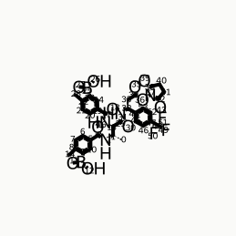 C[C@H](NC(=O)c1ccc2c(c1)B(O)OC2)[C@H](NC(=O)c1ccc2c(c1)B(O)OC2)C(=O)N[C@@H](CC(=O)ON1C(=O)CCC1=O)c1ccc(C(F)(F)F)cc1